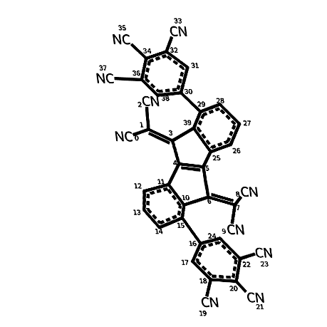 N#CC(C#N)=C1C2=C(C(=C(C#N)C#N)c3c2cccc3-c2cc(C#N)c(C#N)c(C#N)c2)c2cccc(-c3cc(C#N)c(C#N)c(C#N)c3)c21